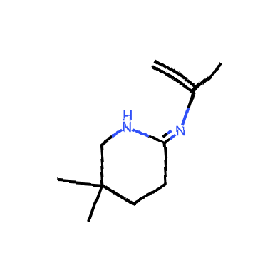 C=C(C)/N=C1/CCC(C)(C)CN1